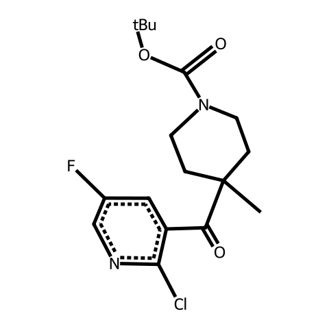 CC(C)(C)OC(=O)N1CCC(C)(C(=O)c2cc(F)cnc2Cl)CC1